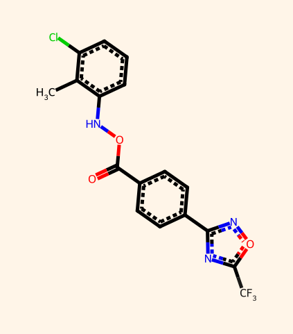 Cc1c(Cl)cccc1NOC(=O)c1ccc(-c2noc(C(F)(F)F)n2)cc1